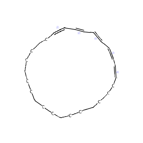 [C]1=C/C=C\C=C/C=C\C=C/CCCCCCCCCCCCCCCCC\1